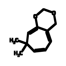 CC1(C)C=CC=C2COCOC2=C1